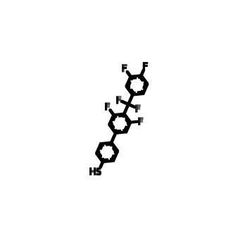 Fc1ccc(C(F)(F)c2c(F)cc(-c3ccc(S)cc3)cc2F)cc1F